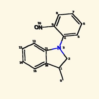 CC1CN(c2ccccc2N=O)c2ccccc21